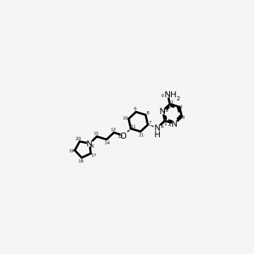 Nc1ccnc(N[C@H]2CCC[C@@H](OCCCN3CCCC3)C2)n1